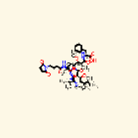 CC[C@H](C)[C@@H]([C@@H](CC(=O)N1CCC[C@H]1[C@H](OC)[C@@H](C)C(=O)N[C@@H](Cc1ccccc1)C(=O)O)OC)N(C)[C@H](C(=O)NC(=O)C(C)(C)NC(=O)CCCN1C(=O)C=CC1=O)C(C)C